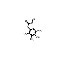 CCCCOC(=O)Cc1cc(C(C)(C)C)c(O)c(C)c1C